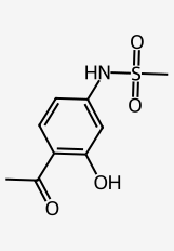 CC(=O)c1ccc(NS(C)(=O)=O)cc1O